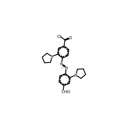 O=[C]c1ccc(/N=N/c2ccc(C(=O)Cl)cc2N2CCCC2)c(N2CCCC2)c1